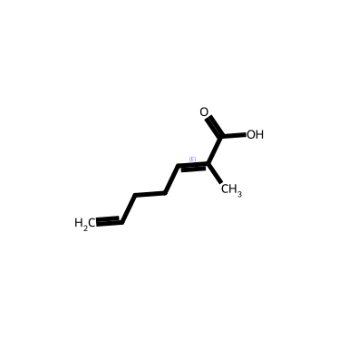 C=CCC/C=C(\C)C(=O)O